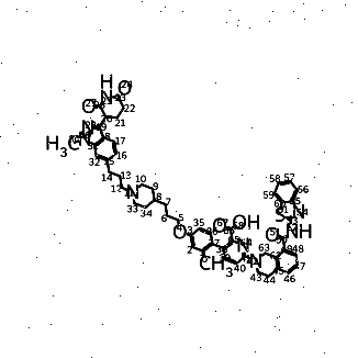 Cc1cc(OCCCC2CCN(CCCc3ccc4c(C5CCC(=O)NC5=O)nn(C)c4c3)CC2)ccc1-c1ccc(N2CCc3cccc(C(=O)Nc4nc5ccccc5s4)c3C2)nc1C(=O)O